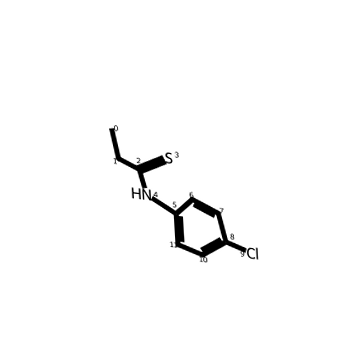 CCC(=S)Nc1ccc(Cl)cc1